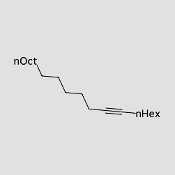 [CH2]CCCCCC#CCCCCCCCCCCCC[CH2]